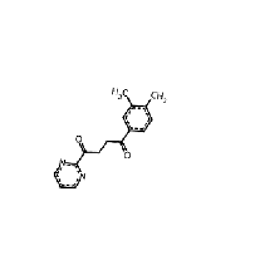 Cc1ccc(C(=O)CCC(=O)c2ncccn2)cc1C